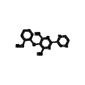 COc1ccccc1Oc1c(O)nc(-c2cnccn2)nc1O